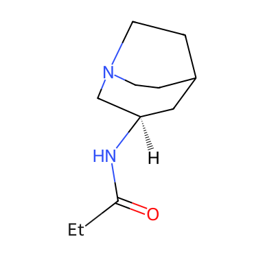 CCC(=O)N[C@@H]1CC2CCN(CC2)C1